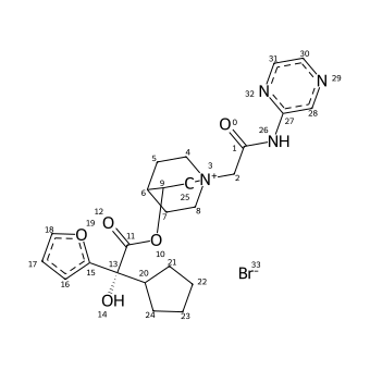 O=C(C[N+]12CCC(CC1)C(OC(=O)[C@](O)(c1ccco1)C1CCCC1)C2)Nc1cnccn1.[Br-]